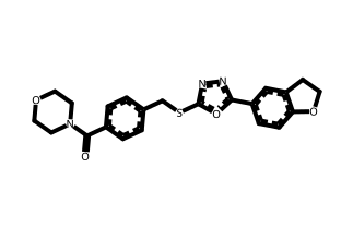 O=C(c1ccc(CSc2nnc(-c3ccc4c(c3)CCO4)o2)cc1)N1CCOCC1